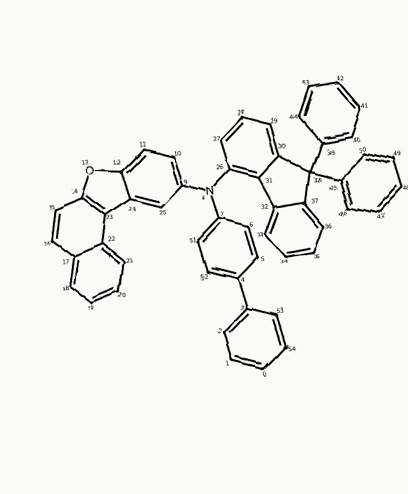 c1ccc(-c2ccc(N(c3ccc4oc5ccc6ccccc6c5c4c3)c3cccc4c3-c3ccccc3C4(c3ccccc3)c3ccccc3)cc2)cc1